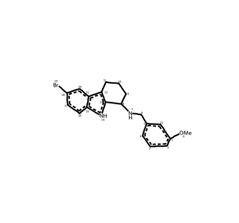 COc1cccc(CNC2CCCc3c2[nH]c2ccc(Br)cc32)c1